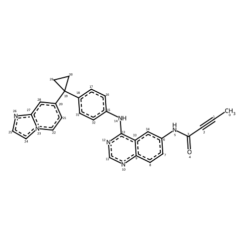 CC#CC(=O)Nc1ccc2ncnc(Nc3ccc(C4(c5ccn6ccnc6c5)CC4)cc3)c2c1